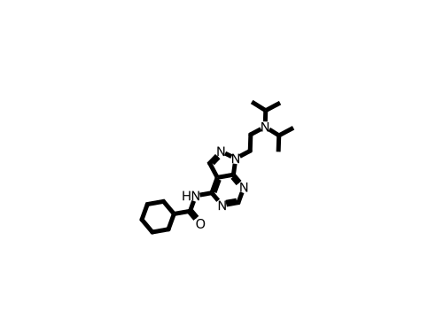 CC(C)N(CCn1ncc2c(NC(=O)C3CCCCC3)ncnc21)C(C)C